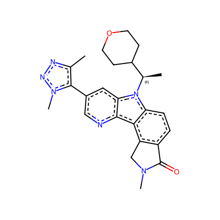 Cc1nnn(C)c1-c1cnc2c3c4c(ccc3n([C@H](C)C3CCOCC3)c2c1)C(=O)N(C)C4